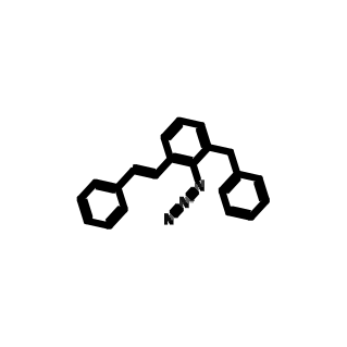 [N-]=[N+]=Nc1c(C=Cc2ccccc2)cccc1Cc1ccccc1